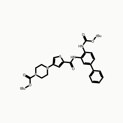 CC(C)(C)OC(=O)Nc1ccc(-c2ccccc2)cc1NC(=O)c1cc(N2CCN(C(=O)OC(C)(C)C)CC2)cs1